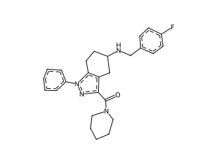 O=C(c1nn(-c2ccccc2)c2c1CC(NCc1ccc(F)cc1)CC2)N1CCCCC1